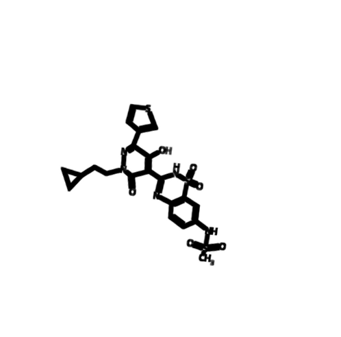 CS(=O)(=O)Nc1ccc2c(c1)S(=O)(=O)NC(c1c(O)c(-c3ccsc3)nn(CCC3CC3)c1=O)=N2